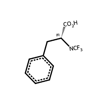 O=C(O)[C@@H](Cc1ccccc1)NC(F)(F)F